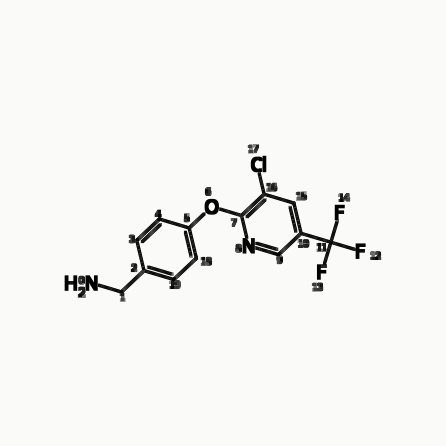 NCc1ccc(Oc2ncc(C(F)(F)F)cc2Cl)cc1